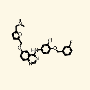 CN(C)Cc1ccc(COc2ccc3ncnc(Nc4ccc(OCc5cccc(F)c5)c(Cl)c4)c3c2)o1